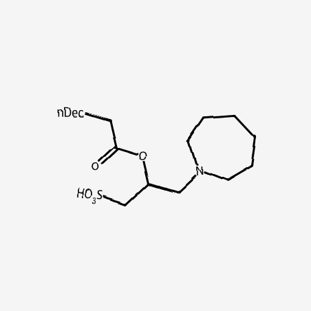 CCCCCCCCCCCC(=O)OC(CN1CCCCCC1)CS(=O)(=O)O